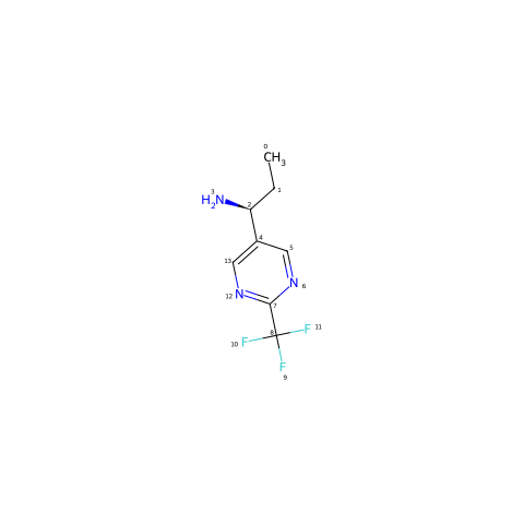 CC[C@H](N)c1cnc(C(F)(F)F)nc1